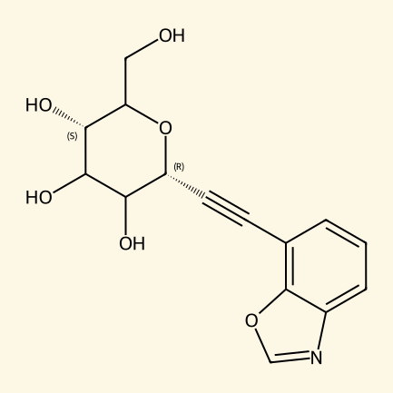 OCC1O[C@H](C#Cc2cccc3ncoc23)C(O)C(O)[C@@H]1O